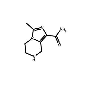 Cc1nc(C(N)=O)c2n1CCNC2